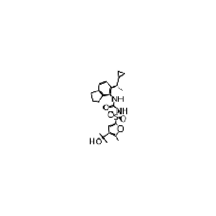 Cc1oc(S(=O)(=O)NC(=O)Nc2c([C@@H](C)C3CC3)ccc3c2CCC3)cc1C(C)(C)O